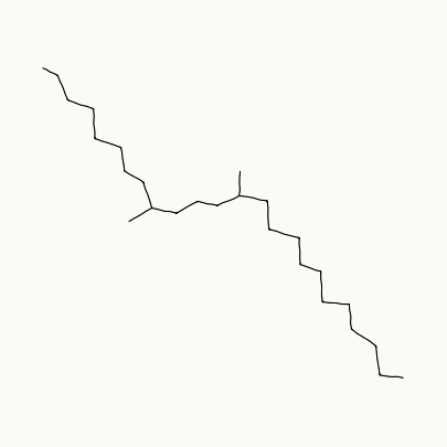 CCCCCCCCCCCC(C)CCCC(C)CCCCCCCC